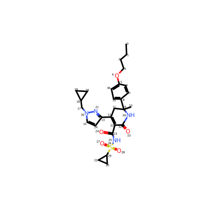 CCCCOc1ccc(C2(C)CC(c3ccn(CC4CC4)n3)=C(C(=O)NS(=O)(=O)C3CC3)C(=O)N2)cc1